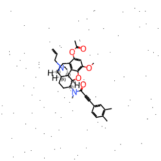 C=CCN1CC[C@]23c4c5c(OC(C)=O)cc(OC)c4O[C@H]2[C@H](N(C)C(=O)C#Cc2ccc(C)c(C)c2)CC[C@H]3[C@H]1C5